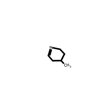 CC1CC=NCC1